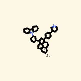 CC(C)(C)C1=Cc2ccc3c(C4=CC(n5c6c(c7ccccc75)C=CCC6)CC=C4)cc(-c4ccc(-c5cccnc5)cc4)c4c3c2[C@H](CC4)C1